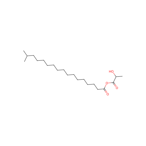 CC(C)CCCCCCCCCCCCCCC(=O)OC(=O)C(C)O